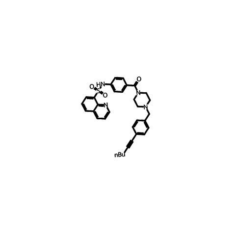 CCCCC#Cc1ccc(CN2CCN(C(=O)c3ccc(NS(=O)(=O)c4cccc5cccnc45)cc3)CC2)cc1